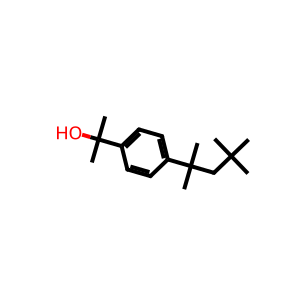 CC(C)(C)CC(C)(C)c1ccc(C(C)(C)O)cc1